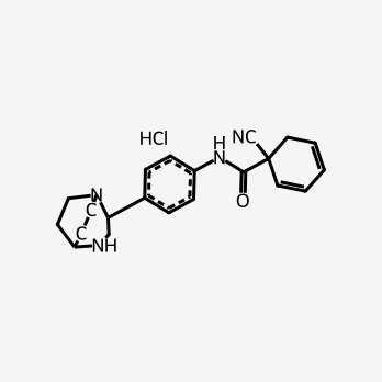 Cl.N#CC1(C(=O)Nc2ccc(C3CNC4CCN3CC4)cc2)C=CC=CC1